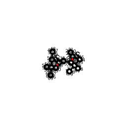 c1ccc(-c2c3ccccc3c(-c3cccc4sc5c6ccccc6ccc5c34)c3ccc(-c4ccc5c(ccc6c5sc5c(-c7ccccc7)ccc(-c7c8ccccc8c(-c8ccccc8)c8ccccc78)c56)c4)cc23)cc1